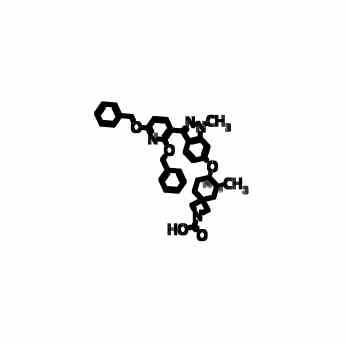 C[C@H]1CC2(CC[C@H]1Oc1ccc3c(-c4ccc(OCc5ccccc5)nc4OCc4ccccc4)nn(C)c3c1)CN(C(=O)O)C2